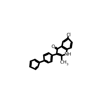 Cc1[nH]c2ccc(Cl)cc2c(=O)c1-c1ccc(-c2ccccc2)cc1